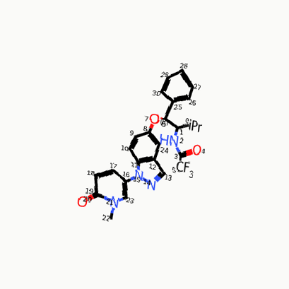 CC(C)C(NC(=O)C(F)(F)F)[C@H](Oc1ccc2c(cnn2-c2ccc(=O)n(C)c2)c1)c1ccccc1